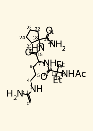 C=C(N)NCCC[C@H](NC(=O)C(CC)(CC)NC(C)=O)C(=O)NC1(C(N)=O)CCCC1